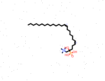 CCCCCCCCCCCCC/C=C\CCCCC/C=C\CCC(O)(C[N+](C)(C)C)P(=O)(O)O